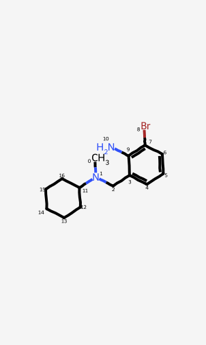 CN(Cc1cccc(Br)c1N)C1CCCCC1